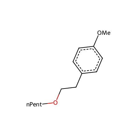 [CH2]CCCCOCCc1ccc(OC)cc1